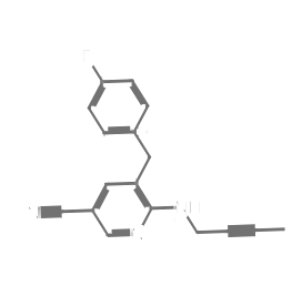 CC#CCNc1ncc(C#N)cc1Cc1ccc(F)cc1